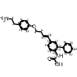 NCCc1ccc(OCC/C=C/c2ccc(NC(=O)O)c(-c3ccccc3)c2)cc1